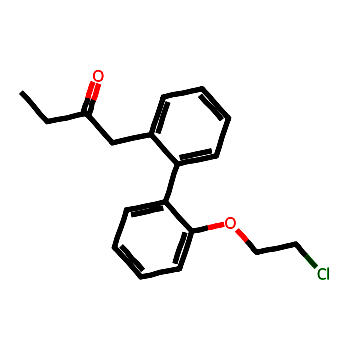 CCC(=O)Cc1ccccc1-c1ccccc1OCCCl